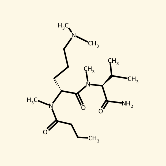 CCCC(=O)N(C)[C@H](CCCN(C)C)C(=O)N(C)[C@H](C(N)=O)C(C)C